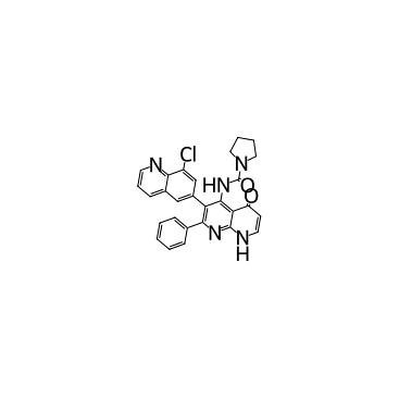 O=C(Nc1c(-c2cc(Cl)c3ncccc3c2)c(-c2ccccc2)nc2[nH]ccc(=O)c12)N1CCCC1